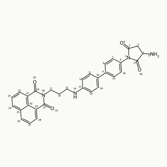 NC1CC(=O)N(c2ccc(-c3ccc(NCCCN4C(=O)c5cccc6cccc(c56)C4=O)cc3)cc2)C1=O